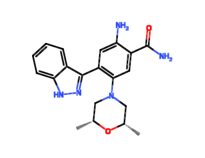 C[C@@H]1CN(c2cc(C(N)=O)c(N)cc2-c2n[nH]c3ccccc23)C[C@H](C)O1